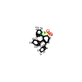 O=S(=O)(Cl)c1ccc(C2CC3CCC2C3)c(C2CC3CCC2C3)c1C1CC2CCC1C2